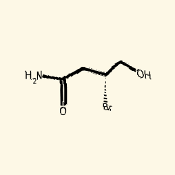 NC(=O)C[C@@H](Br)CO